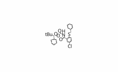 CC(C)(C)C(OOC(=O)NC(=O)c1cc(Cl)ccc1SCc1ccccc1)c1ccccc1